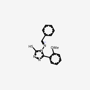 COc1ccccc1-c1nnc(S)n1/N=C/c1ccccc1